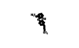 CCCCc1ccc(Oc2ccccc2CC)c(O)c1